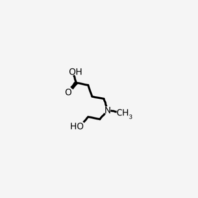 CN(CCO)CCCC(=O)O